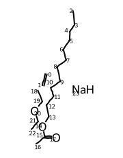 C=C.CCCCCCCCCCCCOC(C)=O.CCOCC.[NaH]